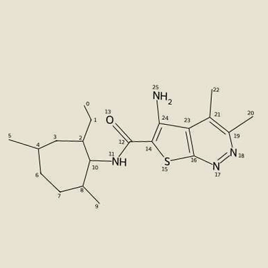 CCC1CC(C)CCC(C)C1NC(=O)c1sc2nnc(C)c(C)c2c1N